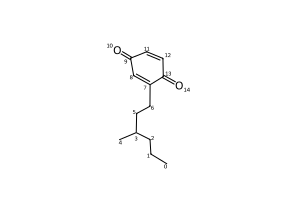 CCCC(C)CCC1=CC(=O)C=CC1=O